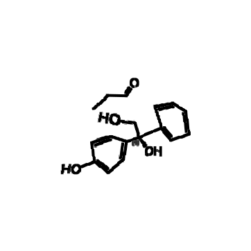 CCC=O.OC[C@](O)(c1ccccc1)c1ccc(O)cc1